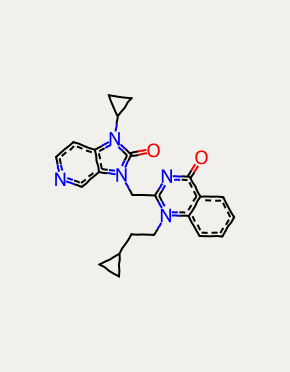 O=c1nc(Cn2c(=O)n(C3CC3)c3ccncc32)n(CCC2CC2)c2ccccc12